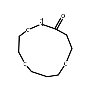 O=C1CCCCCCCCCCN1